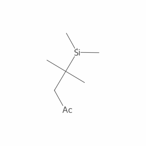 CC(=O)CC(C)(C)[Si](C)C